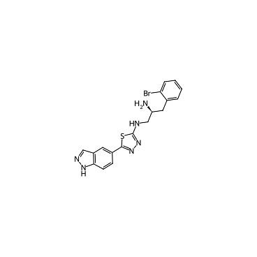 N[C@H](CNc1nnc(-c2ccc3[nH]ncc3c2)s1)Cc1ccccc1Br